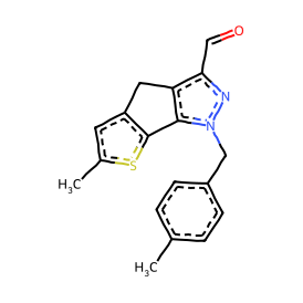 Cc1ccc(Cn2nc(C=O)c3c2-c2sc(C)cc2C3)cc1